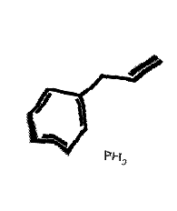 C=CCc1ccccc1.P